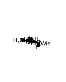 COc1ccc(F)cc1C(=O)NCc1ccc(-c2ncc(-c3ccc(C4CCN(C)CC4)cn3)c3[nH]nc(N)c23)cc1